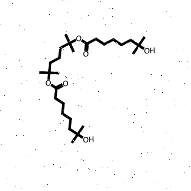 CC(C)(O)CCCCCC(=O)OC(C)(C)CCCC(C)(C)OC(=O)CCCCCC(C)(C)O